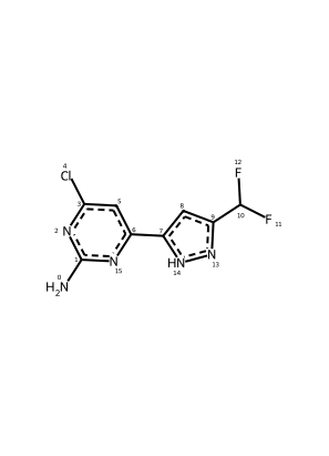 Nc1nc(Cl)cc(-c2cc(C(F)F)n[nH]2)n1